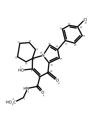 O=C(O)CNC(=O)C1=C(O)C2(CCCCC2)n2cc(-c3ccc(Cl)cc3)cc2C1=O